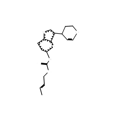 CC=CCOC(=O)Nc1ccc2[nH]cc(C3C=CNCC3)c2n1